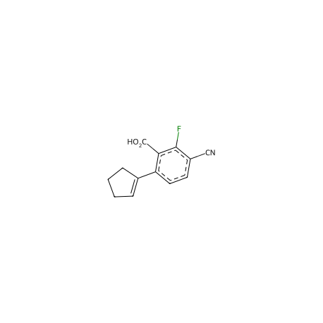 N#Cc1ccc(C2=CCCC2)c(C(=O)O)c1F